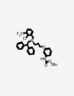 CC(C)(C)OC(=O)Nc1cccc(OCCCN(Cc2cccc(C(F)(F)F)c2Cl)CC(c2ccccc2)c2ccccc2)c1